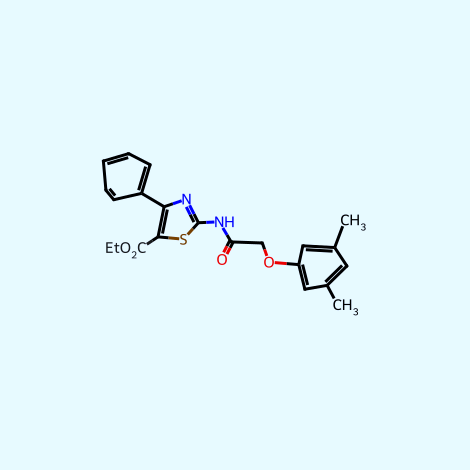 CCOC(=O)c1sc(NC(=O)COc2cc(C)cc(C)c2)nc1-c1ccccc1